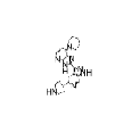 c1cc(N2CCCCC2)c2nc(-c3n[nH]c4cnc(C5CCNCC5)cc34)[nH]c2n1